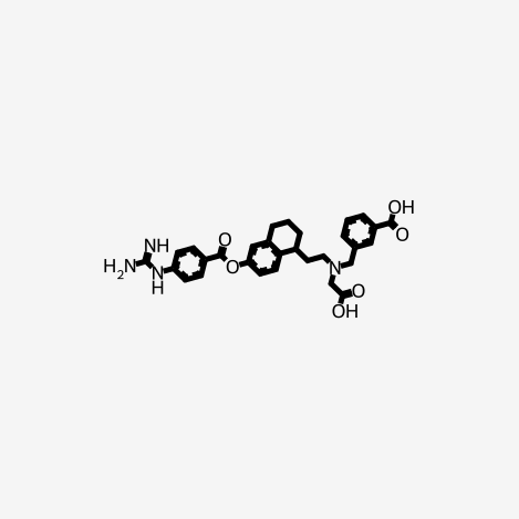 N=C(N)Nc1ccc(C(=O)Oc2ccc3c(c2)CCCC3CCN(CC(=O)O)Cc2cccc(C(=O)O)c2)cc1